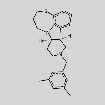 Cc1cc(C)cc(CN2CC[C@@H]3[C@H](C2)c2cccc4c2N3CCCS4)c1